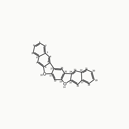 c1ccc2cc3c(cc2c1)oc1cc2oc4cc5ccccc5cc4c2cc13